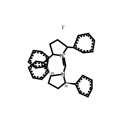 C(N1[C@@H](c2ccccc2)CC[C@@H]1c1ccccc1)=[N+]1C(c2ccccc2)CCC1c1ccccc1.[I-]